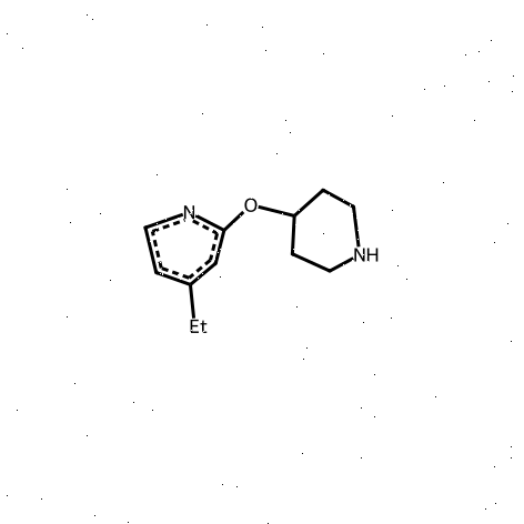 CCc1ccnc(OC2CCNCC2)c1